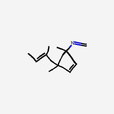 C=NC1(C)C=CC1(C)/C(C)=C/C